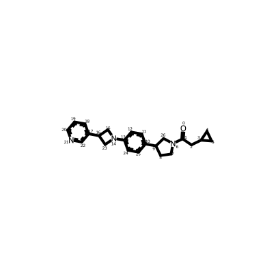 O=C(CC1CC1)N1CCC(c2ccc(N3CC(c4cccnc4)C3)cc2)C1